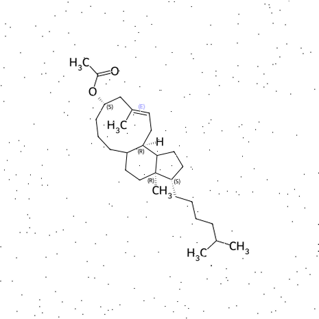 CC(=O)O[C@H]1CCCC2CC[C@@]3(C)C(CC[C@@H]3CCCCC(C)C)[C@@H]2C/C=C(\C)C1